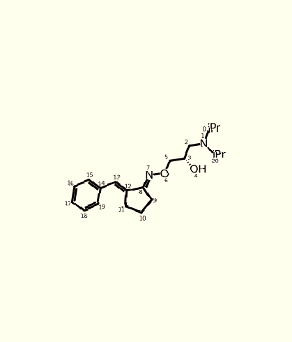 CC(C)N(C[C@H](O)CON=C1CCC/C1=C\c1ccccc1)C(C)C